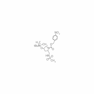 CC(C)(C)[Si](C)(C)OC1CC(CNS(C)(=O)=O)N(C(=O)OCc2ccc([N+](=O)[O-])cc2)C1